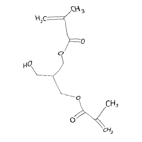 C=C(C)C(=O)OCC(CO)COC(=O)C(=C)C